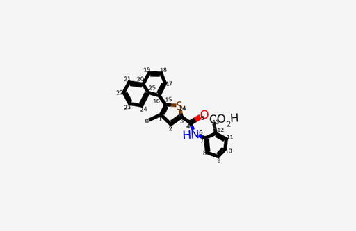 Cc1cc(C(=O)Nc2ccccc2C(=O)O)sc1-c1cccc2ccccc12